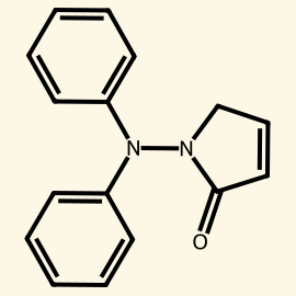 O=C1C=CCN1N(c1ccccc1)c1ccccc1